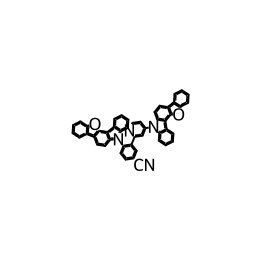 N#Cc1ccc(-n2c3ccccc3c3c4oc5ccccc5c4ccc32)c(-c2cc(-n3c4ccccc4c4c5oc6ccccc6c5ccc43)ccn2)c1